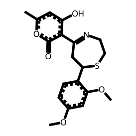 COc1ccc(C2CC(c3c(O)cc(C)oc3=O)=NCCS2)c(OC)c1